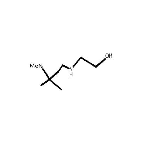 CNC(C)(C)CNCCO